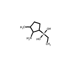 CC[Si](O)(O)C1CCC(C)C1N